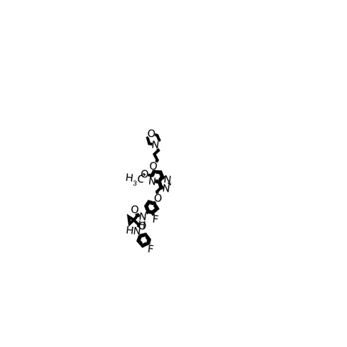 COc1nc2c(COc3ccc(NC(=O)C4(C(=O)Nc5ccc(F)cc5)CC4)c(F)c3)ncnc2cc1OCCCN1CCOCC1